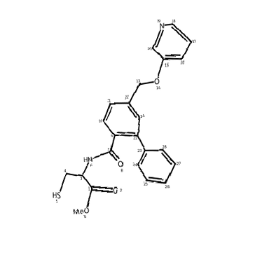 COC(=O)C(CS)NC(=O)c1ccc(COc2cccnc2)cc1-c1ccccc1